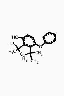 CC(C)(C)c1c(O)ccc(Oc2ccccc2)c1C(C)(C)C